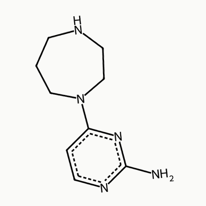 Nc1nccc(N2CCCNCC2)n1